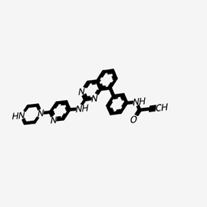 C#CC(=O)Nc1cccc(-c2cccc3cnc(Nc4ccc(N5CCNCC5)nc4)nc23)c1